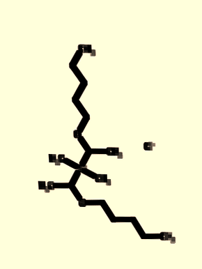 CCCCCOC(C)[N+](C)(C)C(C)OCCCCC.[Cl-]